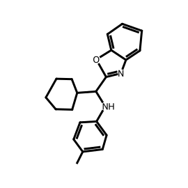 Cc1ccc(NC(c2nc3ccccc3o2)C2CCCCC2)cc1